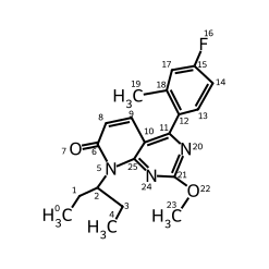 CCC(CC)n1c(=O)ccc2c(-c3ccc(F)cc3C)nc(OC)nc21